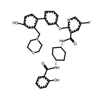 O=C(N[C@H]1CC[C@@H](NC(=O)c2cc(F)cnc2Oc2cccc(-c3ccc(O)cc3CN3CCOCC3)c2)CC1)c1ccccc1O